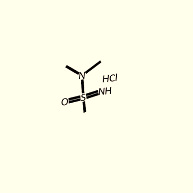 CN(C)S(C)(=N)=O.Cl